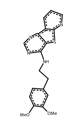 COc1ccc(CCNc2ncnc3c2sc2ncccc23)cc1OC